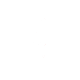 COC(=O)Cc1coc2cc(OC3CCc4c(O)ccc(F)c43)ccc12